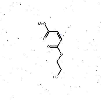 COC(=O)/C=C\C(=O)OCCS